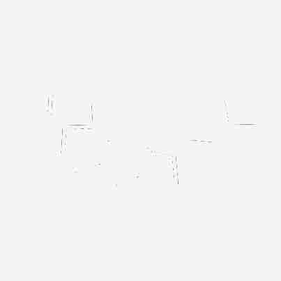 Cc1cc([N+](=O)[O-])c(C)cc1Cc1nc(COC(C)C)cs1